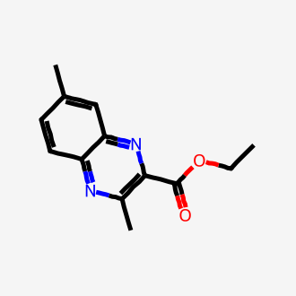 CCOC(=O)c1nc2cc(C)ccc2nc1C